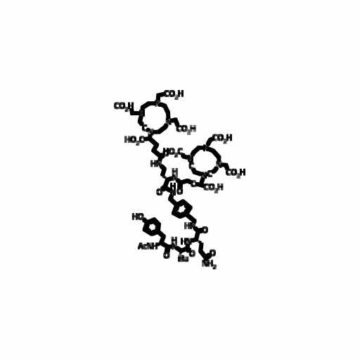 CC[C@@H](C)C(NC(=O)[C@H](Cc1ccc(O)cc1)NC(C)=O)C(=O)N[C@@H](CCC(N)=O)C(=O)NCc1ccc(CNC(=O)[C@H](CCNC(=O)CCC(C(=O)O)N2CCN(CC(=O)O)CCN(CC(=O)O)CCN(CC(=O)O)CC2)NC(=O)CCC(C(=O)O)N2CCN(CC(=O)O)CCN(CC(=O)O)CCN(CC(=O)O)CC2)cc1